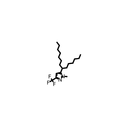 CCCCCCCC(CCCCCC)c1cc(C(F)(F)F)nn1C